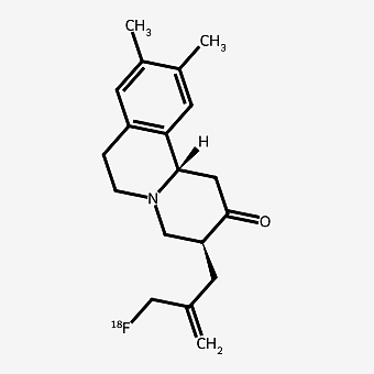 C=C(C[18F])C[C@H]1CN2CCc3cc(C)c(C)cc3[C@@H]2CC1=O